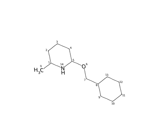 CC1CCCC(OCC2CCCCC2)N1